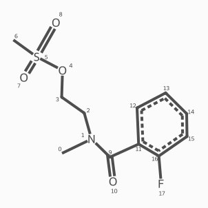 CN(CCOS(C)(=O)=O)C(=O)c1ccccc1F